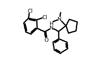 CN(C)C1(C(NC(=O)c2cccc(Cl)c2Cl)c2ccccc2)CCCC1